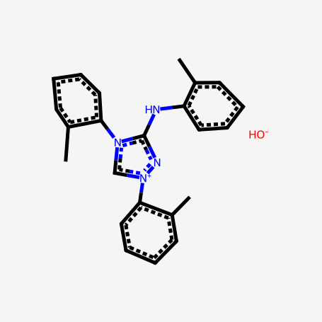 Cc1ccccc1Nc1n[n+](-c2ccccc2C)cn1-c1ccccc1C.[OH-]